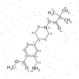 COC(=O)c1ccc(C2CCN(OC(=O)C(C)(C)C)CC2)cc1CN